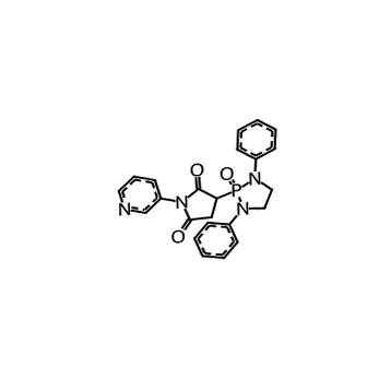 O=C1CC(P2(=O)N(c3ccccc3)CCN2c2ccccc2)C(=O)N1c1cccnc1